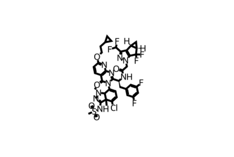 CN1N=C(NS(C)(=O)=O)C2(C)C(Cl)=CC=C(n3c([C@H](Cc4cc(F)cc(F)c4)NC(=O)Cn4nc(C(F)F)c5c4C(F)(F)[C@@H]4C[C@H]54)nc4nc(OCCC5CC5)ccc4c3=O)C12